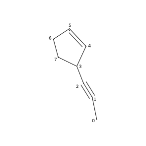 CC#CC1C=[C]CC1